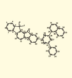 CC1(C)c2ccccc2-c2ccc3c(oc4cc(-c5nc(-c6ccccc6)nc(-c6cccc7ccccc67)n5)ccc43)c21